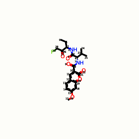 CCC(NC(=O)[C@@H](NC(=O)c1cc2ccc(OC)cc2oc1=O)C(C)C)C(=O)CF